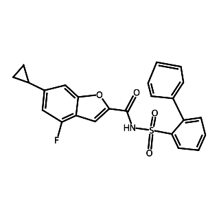 O=C(NS(=O)(=O)c1ccccc1-c1ccccc1)c1cc2c(F)cc(C3CC3)cc2o1